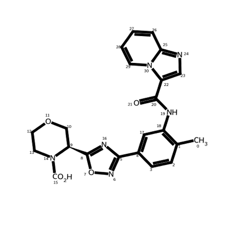 Cc1ccc(-c2noc([C@@H]3COCCN3C(=O)O)n2)cc1NC(=O)c1cnc2ccccn12